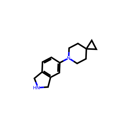 c1cc2c(cc1N1CCC3(CC1)CC3)CNC2